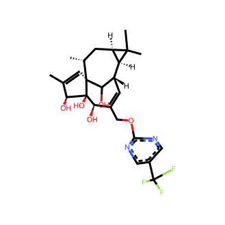 CC1=C[C@]23C(O)[C@@H](C=C(COc4ncc(C(F)(F)F)cn4)[C@@H](O)[C@]2(O)[C@H]1O)[C@H]1[C@@H](C[C@H]3C)C1(C)C